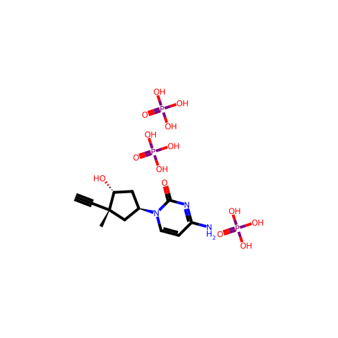 C#C[C@@]1(C)C[C@H](n2ccc(N)nc2=O)C[C@H]1O.O=P(O)(O)O.O=P(O)(O)O.O=P(O)(O)O